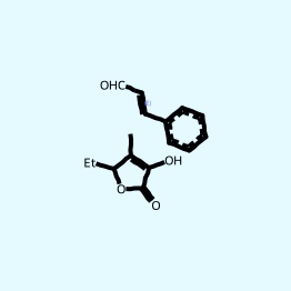 CCC1OC(=O)C(O)=C1C.O=C/C=C/c1ccccc1